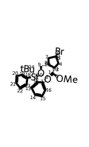 COC(=O)[C@H]1C[C@@H](Br)C[C@H]1CO[Si](c1ccccc1)(c1ccccc1)C(C)(C)C